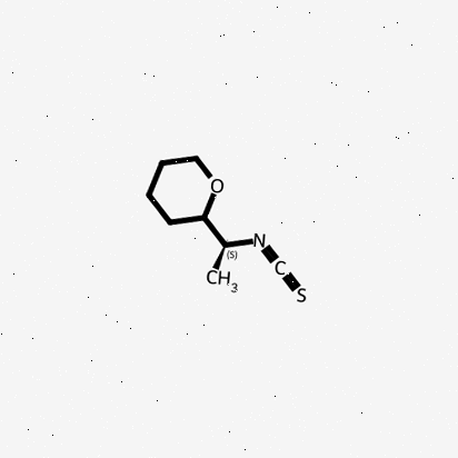 C[C@H](N=C=S)C1CCCCO1